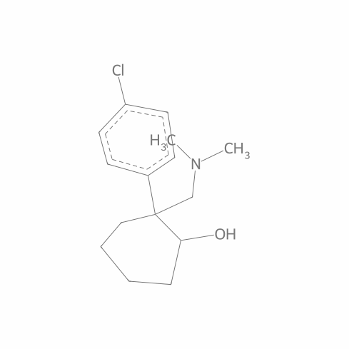 CN(C)CC1(c2ccc(Cl)cc2)CCCCC1O